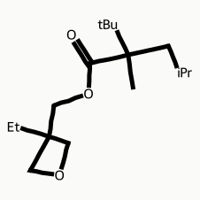 CCC1(COC(=O)C(C)(CC(C)C)C(C)(C)C)COC1